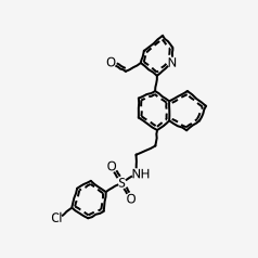 O=Cc1cccnc1-c1ccc(CCNS(=O)(=O)c2ccc(Cl)cc2)c2ccccc12